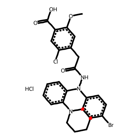 COc1cc(CC(=O)NN(c2ccc(Br)cc2)c2ccccc2N2CCCCC2)c(Cl)cc1C(=O)O.Cl